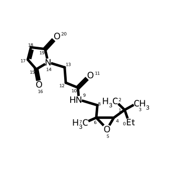 CCC(C)(C)C1OC1(C)CNC(=O)CCN1C(=O)C=CC1=O